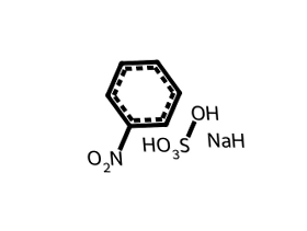 O=S(=O)(O)O.O=[N+]([O-])c1ccccc1.[NaH]